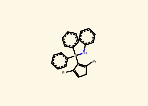 CC(C)C1=CCC(C(C)C)=C1[Si](Nc1ccccc1)(c1ccccc1)c1ccccc1